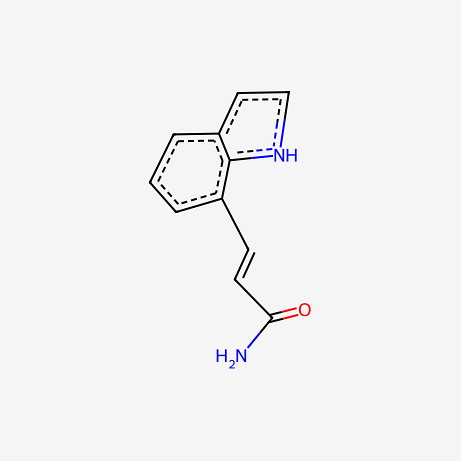 NC(=O)C=Cc1cccc2cc[nH]c12